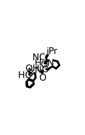 CC(C)C=C(C#N)C(=O)N1CCCCC1COC(=O)NC(Cc1ccccc1)B(O)O